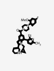 CCc1nc(C)ccc1-c1cc(C(=O)N2CCN(c3ccc(F)cc3OC)CC2)cc2cc(C3=CCCNC3)n(CC3CC3)c12